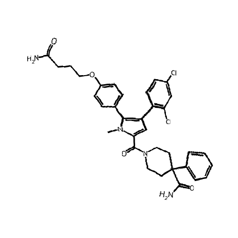 Cn1c(C(=O)N2CCC(C(N)=O)(c3ccccc3)CC2)cc(-c2ccc(Cl)cc2Cl)c1-c1ccc(OCCCC(N)=O)cc1